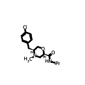 CC(C)NC(=O)[C@H]1CN(C)[C@@H](Cc2ccc(Cl)cc2)CO1